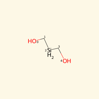 OC[SiH2]CO